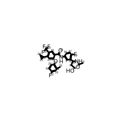 CC(=O)NC(CCO)c1cc(NC(=O)c2cc(C(F)(F)F)c(C3CC3)cc2Oc2ccc(F)cc2C)ccc1F